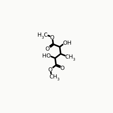 COC(=O)C(O)C(C)C(O)C(=O)OC